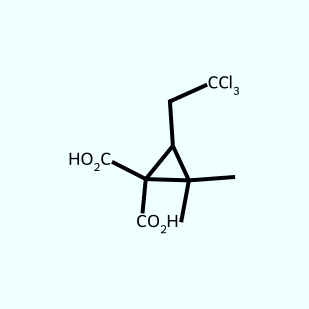 CC1(C)C(CC(Cl)(Cl)Cl)C1(C(=O)O)C(=O)O